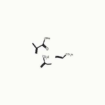 C=C(C)C(=O)O.C=C(C)C(=O)OC.C=CC(=O)O